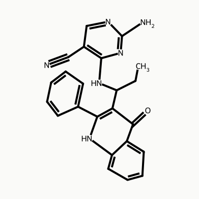 CCC(Nc1nc(N)ncc1C#N)c1c(-c2ccccc2)[nH]c2ccccc2c1=O